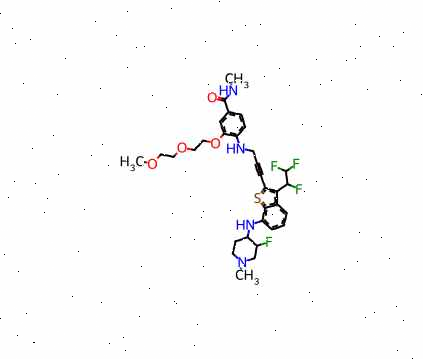 CNC(=O)c1ccc(NCC#Cc2sc3c(NC4CCN(C)CC4F)cccc3c2C(F)C(F)F)c(OCCOCCOC)c1